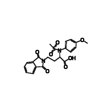 COc1ccc(N(C(CCN2C(=O)c3ccccc3C2=O)C(=O)O)S(C)(=O)=O)cc1